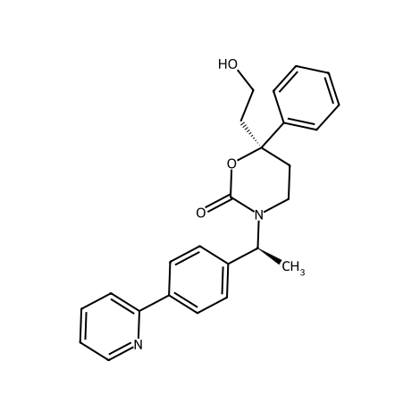 C[C@@H](c1ccc(-c2ccccn2)cc1)N1CC[C@](CCO)(c2ccccc2)OC1=O